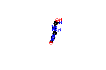 N#Cc1cc(-c2ncnc(Nc3ccc(N4CCN(C5COC5)CC4)cc3)n2)ccc1O